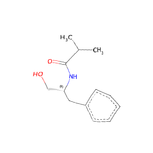 CC(C)C(=O)N[C@@H](CO)Cc1ccccc1